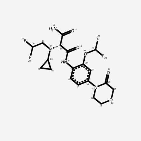 NC(=O)[C@H](C(=O)Nc1ccc(N2CCOCC2=O)cc1OC(F)F)N(CC(F)F)C1CC1